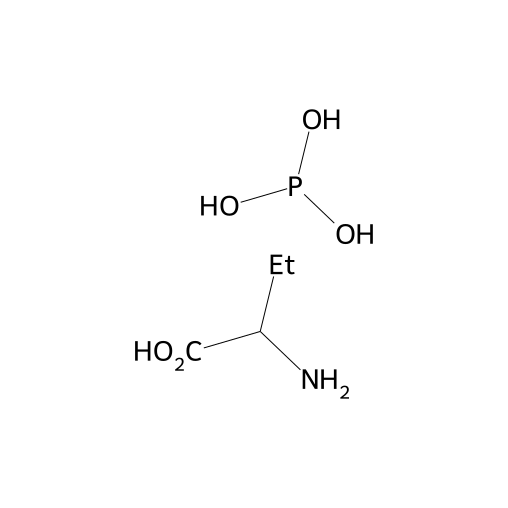 CCC(N)C(=O)O.OP(O)O